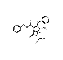 CC(O)[C@@H]1C(=O)N2C(C(=O)OSc3ccccc3)=C(Sc3ccccc3)[C@H](C)[C@@H]12